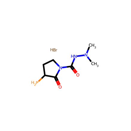 Br.CN(C)NC(=O)N1CCC(P)C1=O